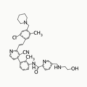 Cc1cc(/C=C/c2nccc(-c3cccc(NC(=O)c4ccc(CNCCO)cn4)c3C)c2C#N)c(Cl)cc1CN1CCCCC1